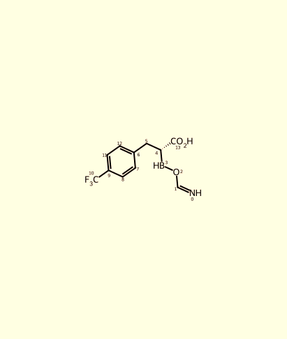 N=COB[C@H](Cc1ccc(C(F)(F)F)cc1)C(=O)O